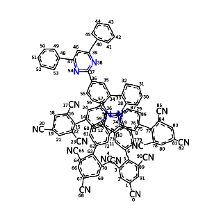 N#Cc1cc(C#N)c(-c2ccc3c(c2)c2cc(-c4c(C#N)cc(C#N)cc4C#N)ccc2n3-c2ccccc2-c2cc(-c3nc(-c4ccccc4)cc(-c4ccccc4)n3)ccc2-n2c3ccc(-c4c(C#N)cc(C#N)cc4C#N)cc3c3cc(-c4c(C#N)cc(C#N)cc4C#N)ccc32)c(C#N)c1